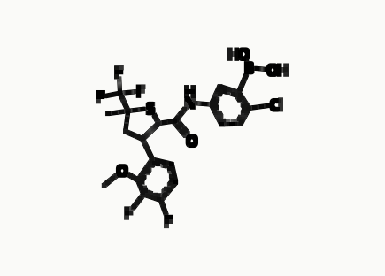 COc1c(C2CC(C)(C(F)(F)F)SC2C(=O)Nc2ccc(Cl)c(B(O)O)c2)ccc(F)c1F